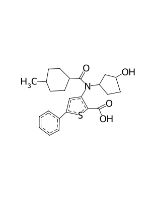 CC1CCC(C(=O)N(c2cc(-c3ccccc3)sc2C(=O)O)C2CCC(O)C2)CC1